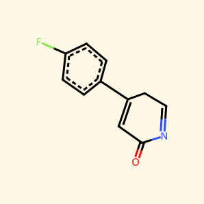 O=C1C=C(c2ccc(F)cc2)CC=N1